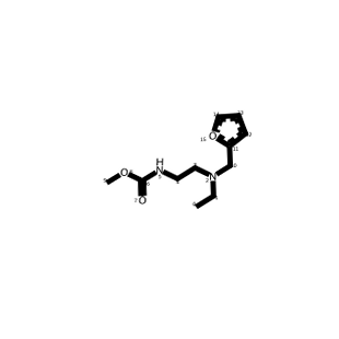 CCN(CCNC(=O)OC)Cc1ccco1